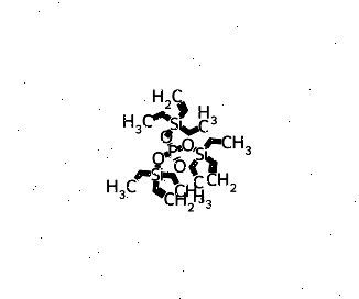 C=C[Si](CC)(CC)OP(=O)(O[Si](C=C)(CC)CC)O[Si](C=C)(CC)CC